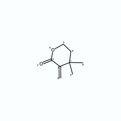 C=C1C(=O)OCCC1(C)C